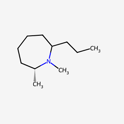 CCCC1CCCC[C@@H](C)N1C